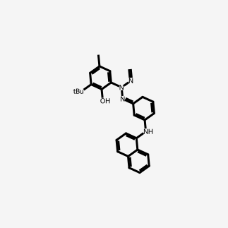 C=NN(/N=C1/C=C(Nc2cccc3ccccc23)C=CC1)c1cc(C)cc(C(C)(C)C)c1O